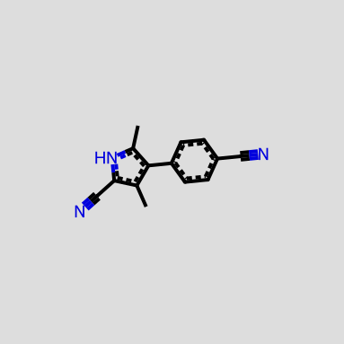 Cc1[nH]c(C#N)c(C)c1-c1ccc(C#N)cc1